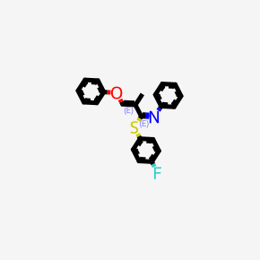 CC(=C\Oc1ccccc1)/C(=N\c1ccccc1)Sc1ccc(F)cc1